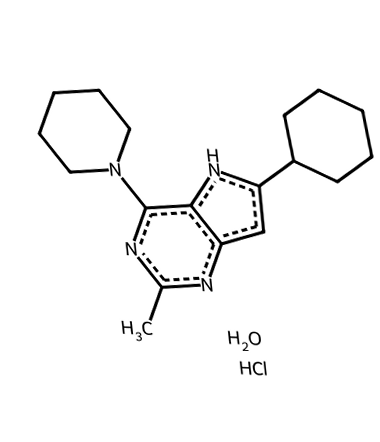 Cc1nc(N2CCCCC2)c2[nH]c(C3CCCCC3)cc2n1.Cl.O